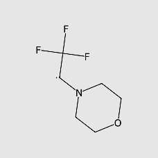 FC(F)(F)[CH]N1CCOCC1